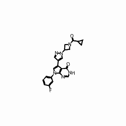 O=C(C1CC1)N1CC(n2cc(-c3cn(-c4cccc(F)c4)c4nc[nH]c(=O)c34)cn2)C1